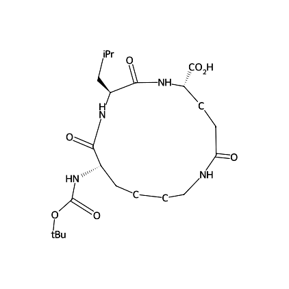 CC(C)C[C@@H]1NC(=O)[C@@H](NC(=O)OC(C)(C)C)CCCCNC(=O)CC[C@@H](C(=O)O)NC1=O